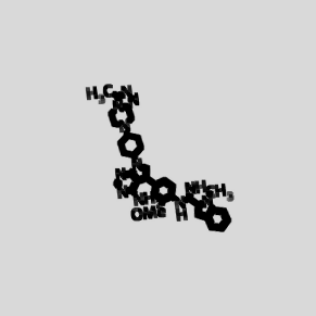 COc1cc(-c2cn(C3CCC(N4CCn5c(C)nnc5C4)CC3)c3ncnc(N)c23)ccc1NC(=N)c1cc2ccccc2n1C